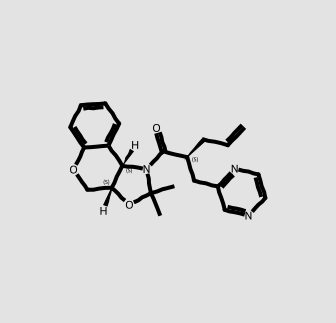 C=CC[C@@H](Cc1cnccn1)C(=O)N1[C@H]2c3ccccc3OC[C@H]2OC1(C)C